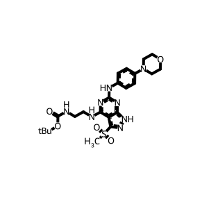 CC(C)(C)OC(=O)NCCNc1nc(Nc2ccc(N3CCOCC3)cc2)nc2[nH]nc(S(C)(=O)=O)c12